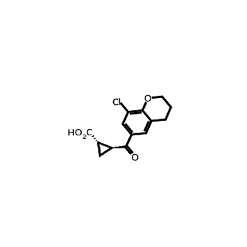 O=C(O)[C@H]1C[C@@H]1C(=O)c1cc(Cl)c2c(c1)CCCO2